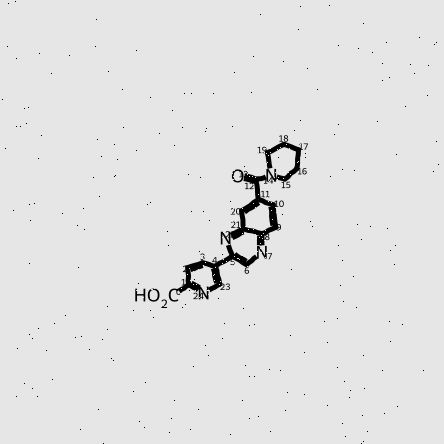 O=C(O)c1ccc(-c2cnc3ccc(C(=O)N4CCCCC4)cc3n2)cn1